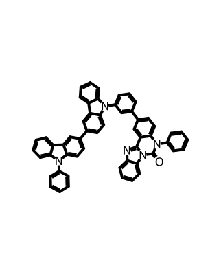 O=c1n(-c2ccccc2)c2ccc(-c3cccc(-n4c5ccccc5c5cc(-c6ccc7c(c6)c6ccccc6n7-c6ccccc6)ccc54)c3)cc2c2nc3ccccc3n12